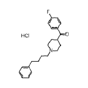 Cl.O=C(c1ccc(F)cc1)C1CCN(CCCCc2ccccc2)CC1